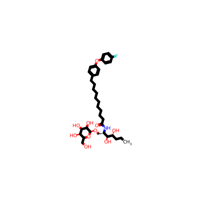 CCC[C@@H](O)[C@@H](O)[C@H](CO[C@H]1OC(CO)[C@@H](O)C(O)C1O)NC(=O)CCCCCCCCCCc1ccc(Oc2ccc(F)cc2)cc1